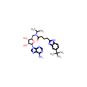 CC(C)N(C[C@H]1O[C@@H](n2cnc3c(N)ncnc32)[C@H](O)[C@@H]1O)C(=O)CCCc1nc2cc(C(C)(C)C)ccc2[nH]1